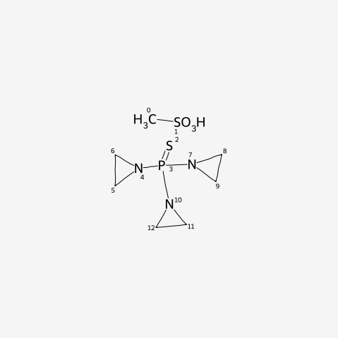 CS(=O)(=O)O.S=P(N1CC1)(N1CC1)N1CC1